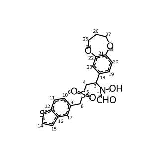 O=CN(O)C(CS(=O)(=O)Cc1ccc2sccc2c1)c1ccc2c(c1)OCCCO2